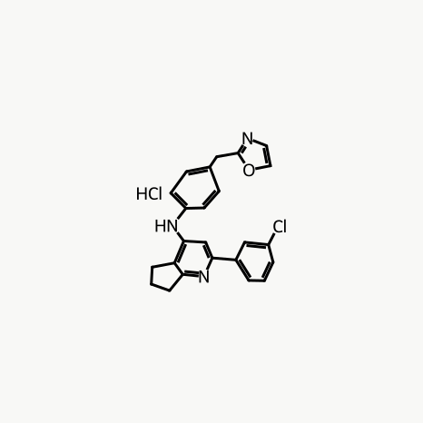 Cl.Clc1cccc(-c2cc(Nc3ccc(Cc4ncco4)cc3)c3c(n2)CCC3)c1